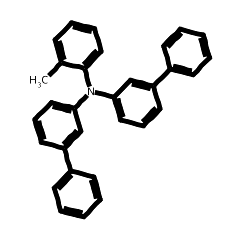 Cc1ccccc1N(c1cccc(-c2ccccc2)c1)c1cccc(-c2ccccc2)c1